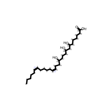 CCCCC/C=C\CCCC/C=C\CCC(O)CCCC(O)CC(O)CCCCCC(=O)O